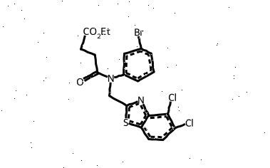 CCOC(=O)CCC(=O)N(Cc1nc2c(Cl)c(Cl)ccc2s1)c1cccc(Br)c1